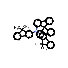 CC1(C)c2ccccc2-c2ccc(N(c3ccc4c(c3)C(C)(C)c3ccccc3-4)c3cccc4c3C(c3ccccc3)(c3ccccc3)c3ccccc3-4)cc21